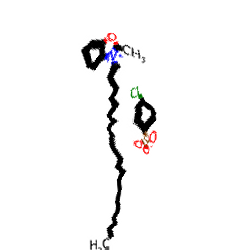 CCCCCCCCCCCCCCCCCCCCCC[n+]1c(C)oc2ccccc21.O=S(=O)([O-])c1ccc(Cl)cc1